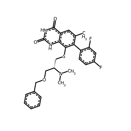 Cc1cc2c(=O)[nH]c(=O)[nH]c2c(SC[C@@H](COCc2ccccc2)N(C)C)c1-c1ccc(F)cc1F